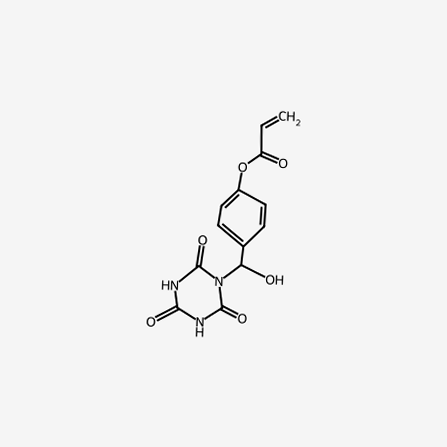 C=CC(=O)Oc1ccc(C(O)n2c(=O)[nH]c(=O)[nH]c2=O)cc1